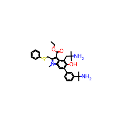 CCOC(=O)c1c(CSc2ccccc2)n(C)c2cc(-c3cccc(C(C)(C)N)c3)c(O)c(CC(C)(C)N)c12